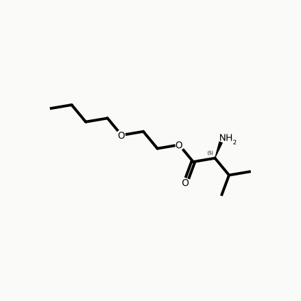 CCCCOCCOC(=O)[C@@H](N)C(C)C